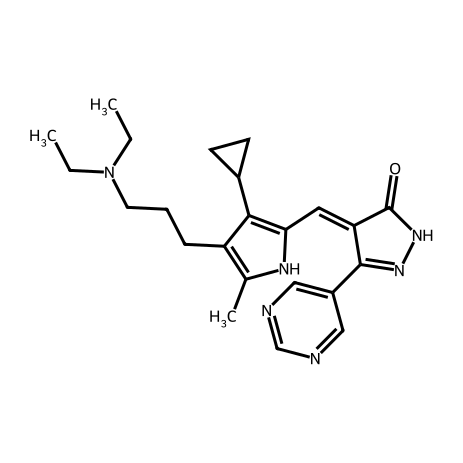 CCN(CC)CCCc1c(C)[nH]c(/C=C2/C(=O)NN=C2c2cncnc2)c1C1CC1